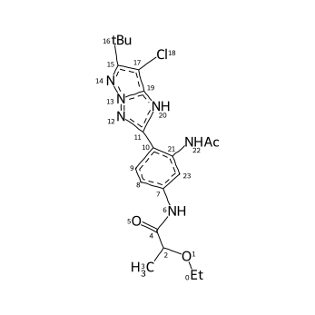 CCOC(C)C(=O)Nc1ccc(-c2nn3nc(C(C)(C)C)c(Cl)c3[nH]2)c(NC(C)=O)c1